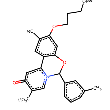 COCCCOc1cc2c(cc1C#N)-c1cc(=O)c(C(=O)O)cn1C(c1cccc(C)c1)O2